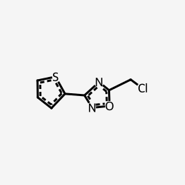 ClCc1nc(-c2cccs2)no1